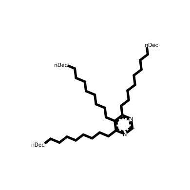 CCCCCCCCCCCCCCCCCCc1n[c]nc(CCCCCCCCCCCCCCCCCC)c1CCCCCCCCCCCCCCCCCC